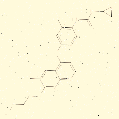 CCOCCOc1cc2nccc(Oc3ccc(NC(=O)NC4CC4)c(Cl)c3)c2cc1C